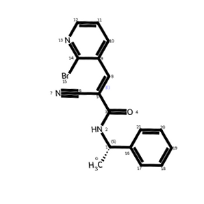 C[C@H](NC(=O)/C(C#N)=C/c1cccnc1Br)c1ccccc1